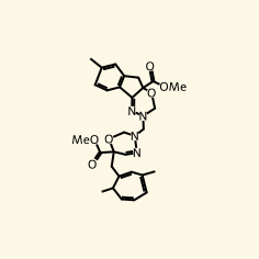 COC(=O)C1(CC2=CC(C)=CC=CC2C)C=NN(CN2COC3(C(=O)OC)Cc4cc(C)ccc4C3=N2)CO1